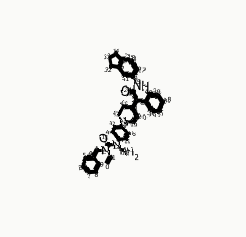 C=CN(Cc1ccccc1)C(=O)N(N)c1ccc(N2CCC(C(C(=O)Nc3ccc4c(c3)CCC4)c3ccccc3)CC2)cc1